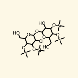 C[Si](C)(C)OC1C(CO)OC(OC2OC(CO)C(O[Si](C)(C)C)C(O[Si](C)(C)C)C2O)C(O)C1O[Si](C)(C)C